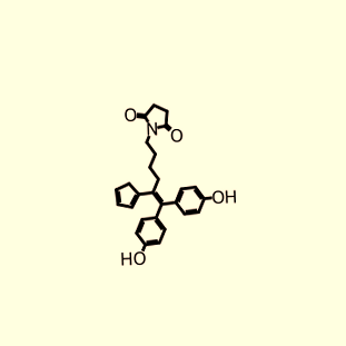 O=C1CCC(=O)N1CCCCC(C1=CC=CC1)=C(c1ccc(O)cc1)c1ccc(O)cc1